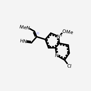 CN/C=C(\C=N)c1cc2nc(Cl)ccc2[n+](OC)c1